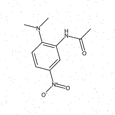 CC(=O)Nc1cc([N+](=O)[O-])ccc1N(C)C